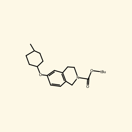 CC1CCC(Oc2ccc3c(c2)CCN(C(=O)OC(C)(C)C)C3)CC1